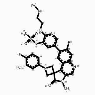 CC(C)NCCOc1ncc(-c2cc3c4c(cnc3cc2F)N(C)C(=O)C42CN(c3ccc(F)cc3)C2)cc1NS(C)(=O)=O.Cl